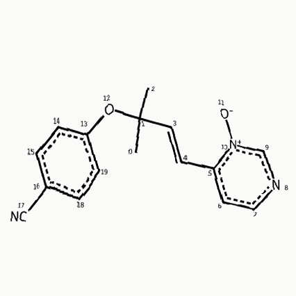 CC(C)(C=Cc1ccnc[n+]1[O-])Oc1ccc(C#N)cc1